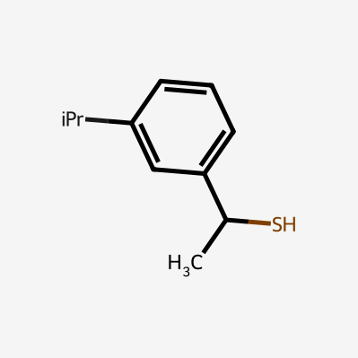 CC(C)c1cccc(C(C)S)c1